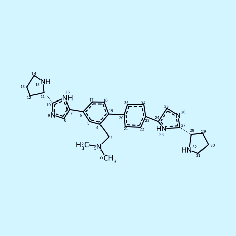 CN(C)Cc1cc(-c2cnc([C@@H]3CCCN3)[nH]2)ccc1-c1ccc(-c2cnc([C@@H]3CCCN3)[nH]2)cc1